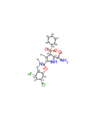 Cc1c(C(=O)N(C)Cc2ccc(Cl)cc2F)[nH]c(C(N)=O)c1S(=O)(=O)c1ccccc1